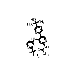 CC(=O)Nc1cc(Nc2ccnc(C(C)(F)F)n2)c(-c2cnc(C(C)(C)O)cn2)cn1